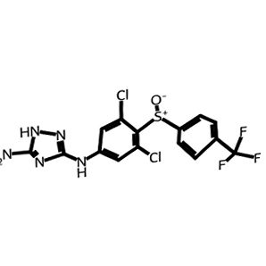 Nc1nc(Nc2cc(Cl)c([S+]([O-])c3ccc(C(F)(F)F)cc3)c(Cl)c2)n[nH]1